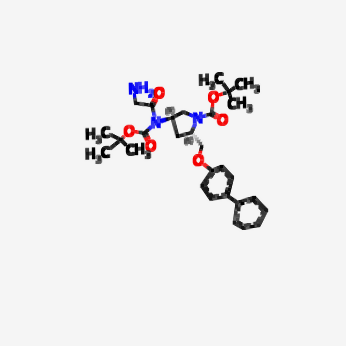 CC(C)(C)OC(=O)N1C[C@H](N(C(=O)CN)C(=O)OC(C)(C)C)C[C@H]1COc1ccc(-c2ccccc2)cc1